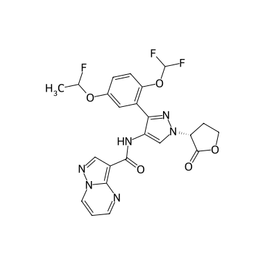 CC(F)Oc1ccc(OC(F)F)c(-c2nn([C@@H]3CCOC3=O)cc2NC(=O)c2cnn3cccnc23)c1